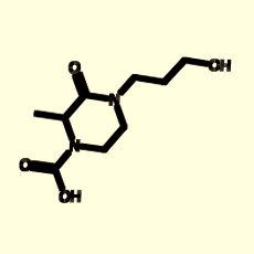 CC1C(=O)N(CCCO)CCN1C(=O)O